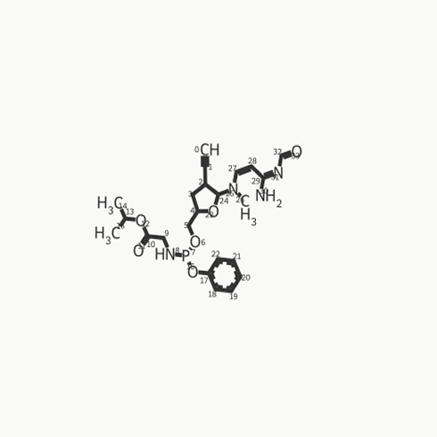 C#CC1CC(COP(NCC(=O)OC(C)C)Oc2ccccc2)OC1N(C)/C=C\C(N)=N/C=O